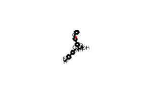 O=C(O)CC(NC(=O)c1ccc(-c2ccc(C(F)(F)F)cc2)cc1)c1ccc(-c2ccc(Oc3ccccc3)cc2)cc1